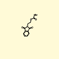 CC(C)(C)C(=O)OCCN1C(=O)c2ccccc2C1=O